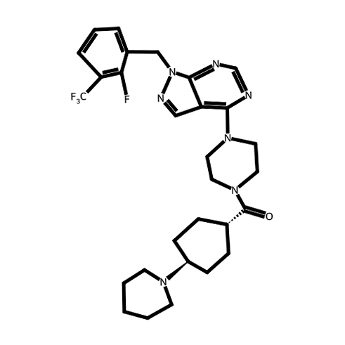 O=C([C@H]1CC[C@H](N2CCCCC2)CC1)N1CCN(c2ncnc3c2cnn3Cc2cccc(C(F)(F)F)c2F)CC1